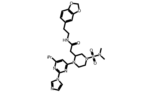 CC(C)c1cc(N2CCN(S(=O)(=O)N(C)C)CC2CC(=O)NCCc2ccc3c(c2)OCO3)nc(-n2ccnc2)n1